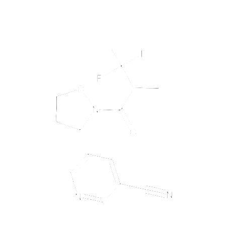 CC(C(=O)N1OCC[C@H]1c1cncc(C#N)c1)C(F)(F)F